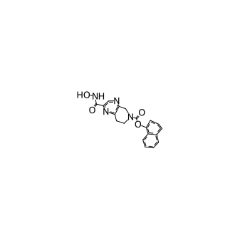 O=C(NO)c1cnc2c(n1)CCN(C(=O)Oc1cccc3ccccc13)C2